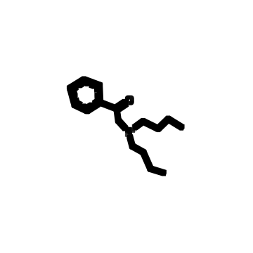 CCCC[S+](CCCC)CC(=O)c1ccccc1